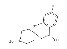 CC(C)(C)N1CCC2(CC1)CC(O)c1ccc(F)cc1O2